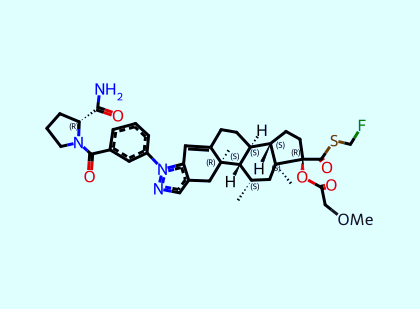 COCC(=O)O[C@]1(C(=O)SCF)CC[C@H]2[C@@H]3CCC4=Cc5c(cnn5-c5cccc(C(=O)N6CCC[C@@H]6C(N)=O)c5)C[C@]4(C)[C@H]3[C@@H](C)C[C@@]21C